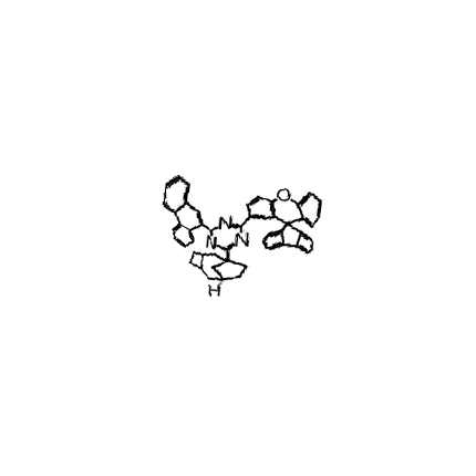 c1ccc2c(c1)Oc1ccc(-c3nc(-c4cc5ccccc5c5ccccc45)nc(C45CC[C@@H](CC6CCC6C4)C5)n3)cc1C21c2ccccc2-c2ccccc21